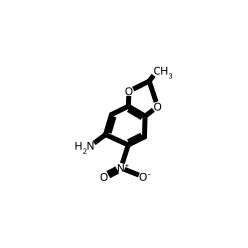 CC1Oc2cc(N)c([N+](=O)[O-])cc2O1